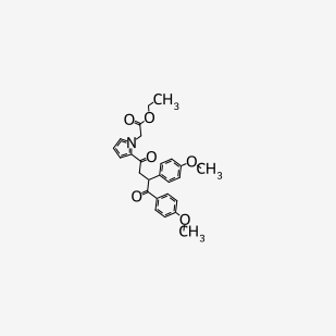 CCOC(=O)Cn1cccc1C(=O)CC(C(=O)c1ccc(OC)cc1)c1ccc(OC)cc1